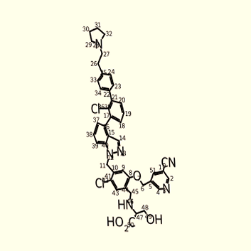 N#Cc1cncc(COc2cc(Cn3ncc4c(-c5cccc(-c6ccc(CCN7CCCC7)cc6)c5Cl)cccc43)c(Cl)cc2CN[C@@H](CO)C(=O)O)c1